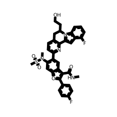 CNC(=O)c1c(-c2ccc(F)cc2)oc2cc(N(C)S(C)(=O)=O)c(-c3ccc4c(n3)-c3cc5c(F)cccc5n3C(CCO)C4)cc12